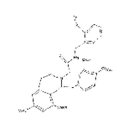 CCOc1ccccc1CNC(=O)CN1CCc2cc(OC)cc(OC)c2C1Cc1ccc(OC)c(OC)c1